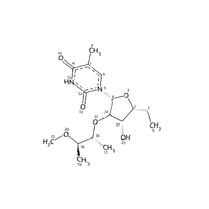 CC[C@H]1O[C@@H](n2cc(C)c(=O)[nH]c2=O)C(O[C@H](C)[C@@H](C)OC)[C@H]1O